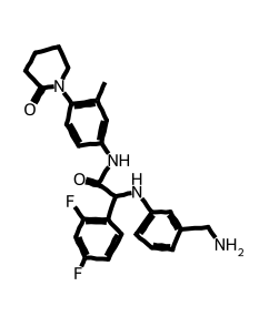 Cc1cc(NC(=O)C(Nc2cccc(CN)c2)c2ccc(F)cc2F)ccc1N1CCCCC1=O